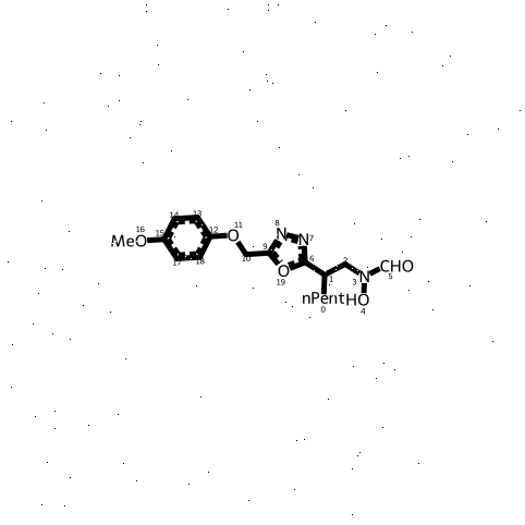 CCCCCC(CN(O)C=O)c1nnc(COc2ccc(OC)cc2)o1